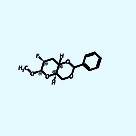 CO[C@@H]1O[C@@H]2COC(c3ccccc3)O[C@H]2C[C@H]1F